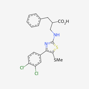 CSc1sc(NCC(Cc2ccccc2)C(=O)O)nc1-c1ccc(Cl)c(Cl)c1